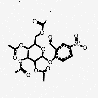 CC(=O)OCC1OC(Oc2ccc([N+](=O)[O-])cc2C=O)C(OC(C)=O)C(OC(C)=O)C1OC(C)=O